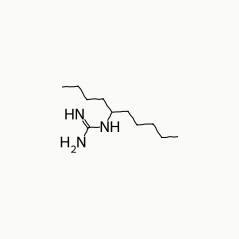 CCCCCC(CCCC)NC(=N)N